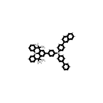 CC1(C)c2ccccc2N2c3ccccc3C(C)(C)c3cc(-c4ccc(N(c5ccc(-c6ccccc6)cc5)c5ccc(-c6ccc7ccccc7c6)cc5)cc4)cc1c32